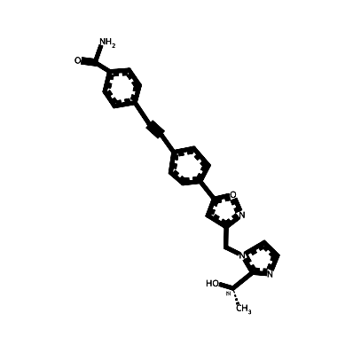 C[C@H](O)c1nccn1Cc1cc(-c2ccc(C#Cc3ccc(C(N)=O)cc3)cc2)on1